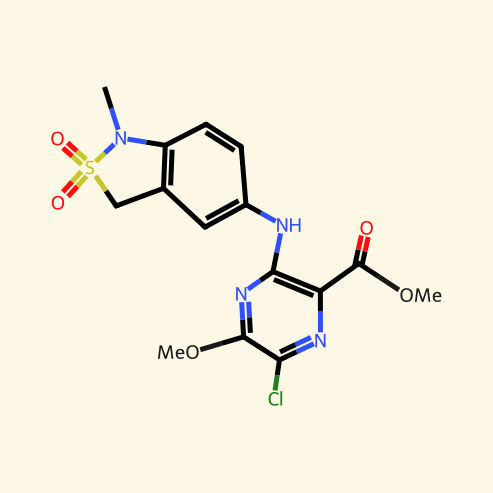 COC(=O)c1nc(Cl)c(OC)nc1Nc1ccc2c(c1)CS(=O)(=O)N2C